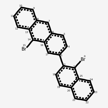 Brc1c(-c2ccc3cc4ccccc4c(Br)c3c2)ccc2ccccc12